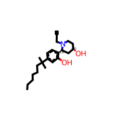 C#CCN1CC[C@@H](O)C[C@H]1c1ccc(C(C)(C)CCCCCC)cc1O